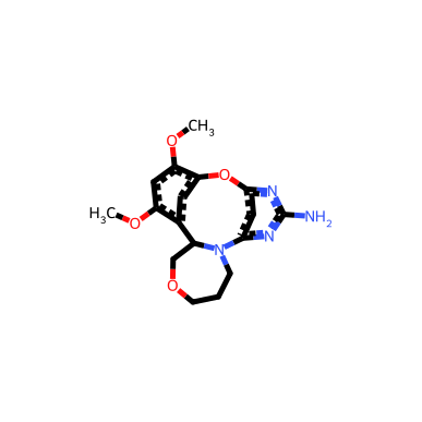 COc1cc(OC)c2cc1Oc1cc(nc(N)n1)N1CCCOCC21